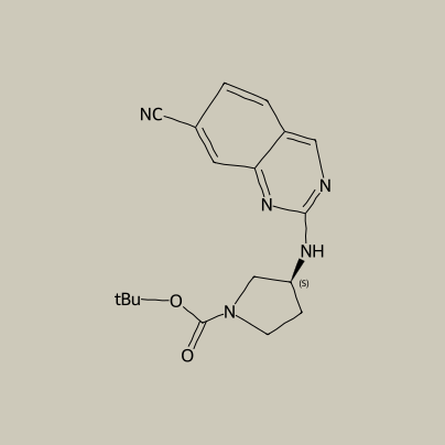 CC(C)(C)OC(=O)N1CC[C@H](Nc2ncc3ccc(C#N)cc3n2)C1